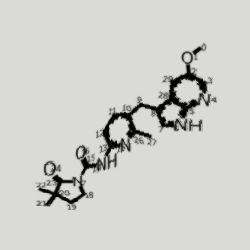 COc1cnc2[nH]cc(Cc3ccc(NC(=O)N4CCC(C)(C)C4=O)nc3C)c2c1